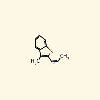 C/C=C\c1sc2ccccc2c1C